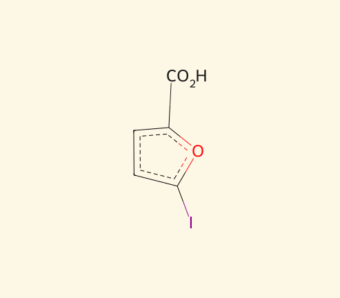 O=C(O)c1ccc(I)o1